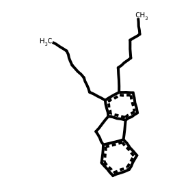 CCCCCc1ccc2c(c1CCCCC)Cc1ccccc1-2